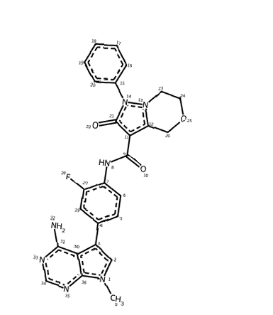 Cn1cc(-c2ccc(NC(=O)c3c4n(n(-c5ccccc5)c3=O)CCOC4)c(F)c2)c2c(N)ncnc21